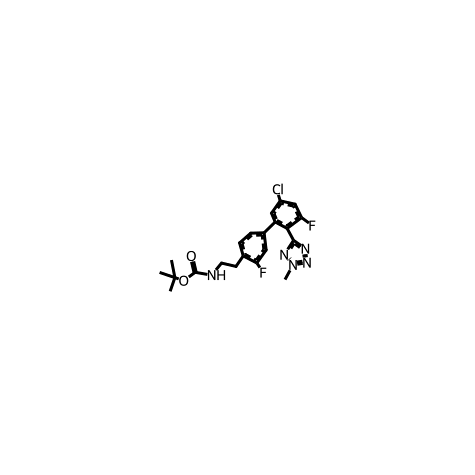 Cn1nnc(-c2c(F)cc(Cl)cc2-c2ccc(CCNC(=O)OC(C)(C)C)c(F)c2)n1